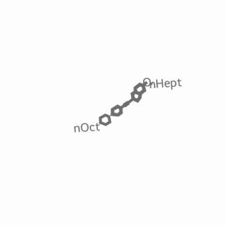 CCCCCCCC[C@H]1CC[C@H](c2ccc(C#Cc3ccc4cc(OCCCCCCC)ccc4c3)cc2)CC1